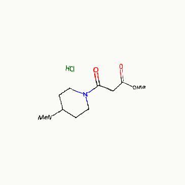 CNC1CCN(C(=O)CC(=O)OC)CC1.Cl